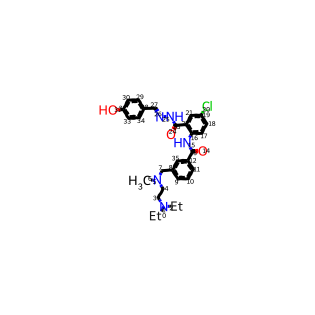 CCN(CC)CCN(C)Cc1cccc(C(=O)Nc2ccc(Cl)cc2C(=O)NN=Cc2ccc(O)cc2)c1